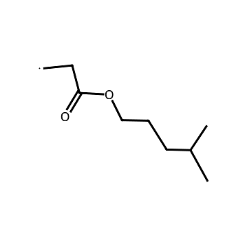 [CH2]CC(=O)OCCCC(C)C